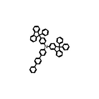 c1ccc(-c2ccc(-c3ccc(N(c4ccc(C5(c6ccccc6)c6ccccc6-c6ccccc65)cc4)c4ccc5c(c4)-c4ccccc4C5(c4ccccc4)c4ccccc4)cc3)cc2)cc1